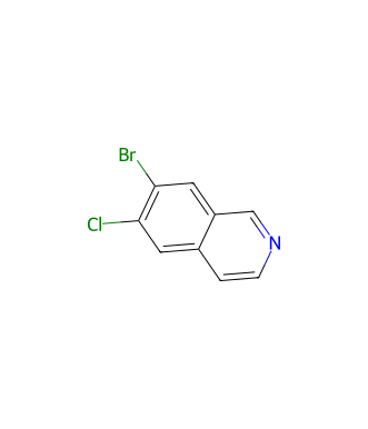 Clc1cc2ccncc2cc1Br